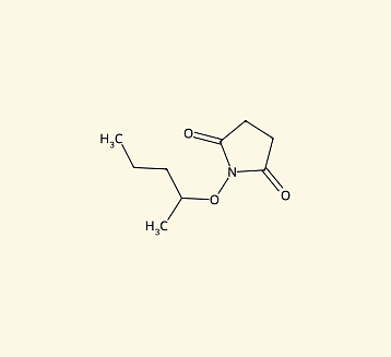 CCCC(C)ON1C(=O)CCC1=O